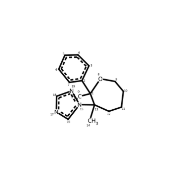 CC1(c2ccccc2)OCCCCC1(C)n1cncn1